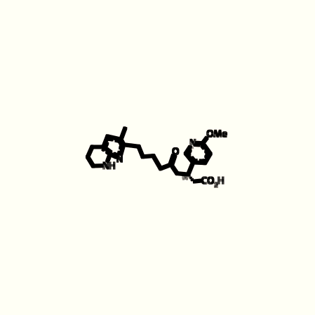 COc1ccc([C@H](CC(=O)O)CC(=O)CCCCc2nc3c(cc2C)CCCN3)cn1